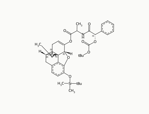 CC(NC(=O)[C@@H](OC(=O)OC(C)(C)C)c1ccccc1)C(=O)OC1=CC[C@@]2(O)[C@H]3Cc4ccc(O[Si](C)(C)C(C)(C)C)c5c4[C@@]2(CCN3C)[C@H]1O5